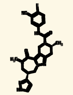 C[C@@H]1Cc2nn3c(c2CN1C(=O)Nc1ccc(F)c(C#N)c1)C(=O)N(C)C[C@@H](c1cc[nH]n1)C3